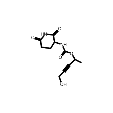 CC(C#CCO)OC(=O)NC1CCC(=O)NC1=O